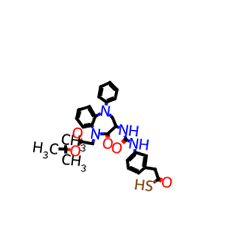 CC(C)(C)OC(=O)CN1C(=O)C(NC(=O)Nc2cccc(CC(=O)S)c2)CN(c2ccccc2)c2ccccc21